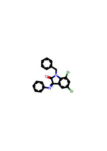 O=C1/C(=N\c2ccccc2)c2cc(Br)cc(Br)c2N1Cc1ccccc1